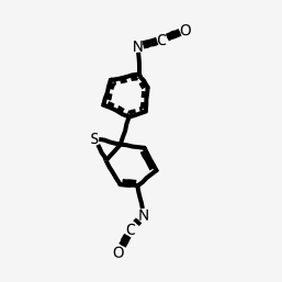 O=C=NC1=CC2SC2(c2ccc(N=C=O)cc2)C=C1